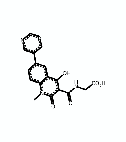 Cn1c(=O)c(C(=O)NCC(=O)O)c(O)c2cc(-c3cncnc3)ccc21